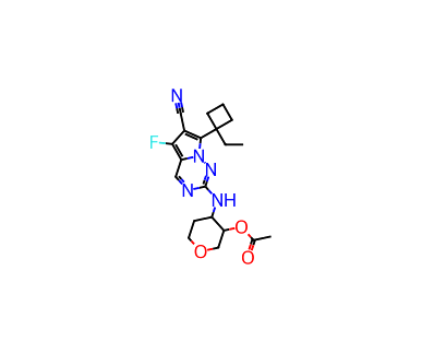 CCC1(c2c(C#N)c(F)c3cnc(NC4CCOCC4OC(C)=O)nn23)CCC1